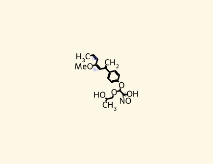 C=C(/C=C(\C=C/C)OC)c1ccc(OC(OCC(C)O)[C@H](O)N=O)cc1